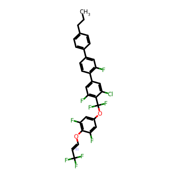 CCCc1ccc(-c2ccc(-c3cc(F)c(C(F)(F)Oc4cc(F)c(O/C=C/C(F)(F)F)c(F)c4)c(Cl)c3)c(F)c2)cc1